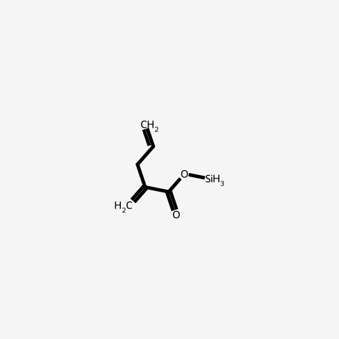 C=CCC(=C)C(=O)O[SiH3]